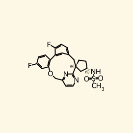 CS(=O)(=O)N[C@H]1CC[C@@]2(Cc3ccc(F)c(c3)-c3ccc(F)cc3OCc3ccnc2n3)C1